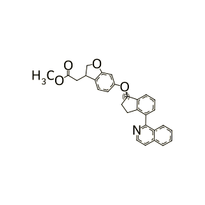 COC(=O)CC1COc2cc(O[C@@H]3CCc4c(-c5nccc6ccccc56)cccc43)ccc21